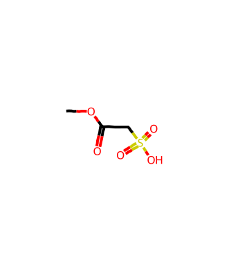 COC(=O)CS(=O)(=O)O